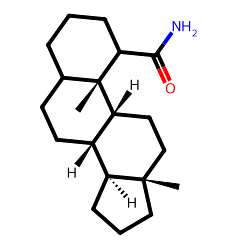 C[C@@]12CCC[C@H]1[C@@H]1CCC3CCCC(C(N)=O)[C@]3(C)[C@@H]1CC2